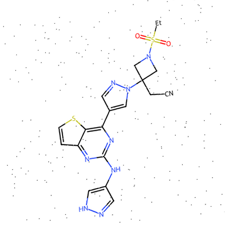 CCS(=O)(=O)N1CC(CC#N)(n2cc(-c3nc(Nc4cn[nH]c4)nc4ccsc34)cn2)C1